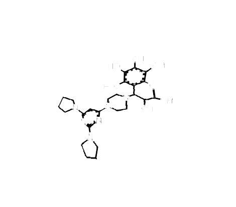 Cc1c(C)c2c(c(C)c1O)C(N1CCN(c3cc(N4CCCC4)nc(N4CCCC4)n3)CC1)C(C)C(C)O2